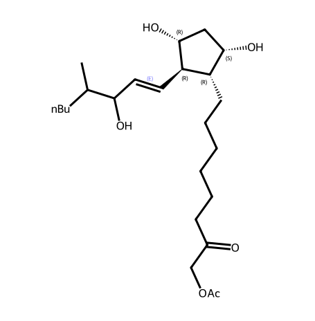 CCCCC(C)C(O)/C=C/[C@@H]1[C@@H](CCCCCCC(=O)COC(C)=O)[C@@H](O)C[C@H]1O